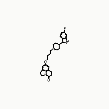 O=C1CCc2cc(OCCCCN3CCC(c4noc5cc(F)ccc45)CC3)cc3c2N1CC3